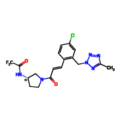 Cc1nnn(Cc2cc(Cl)ccc2C=CC(=O)N2CC[C@H](NC(=O)C(F)(F)F)C2)n1